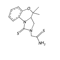 CC1(C)Oc2ccccc2N2C(=S)N(CC(N)=S)CC21